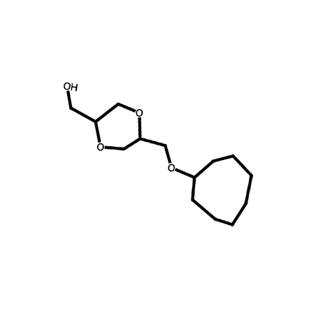 OCC1COC(COC2CCCCCCC2)CO1